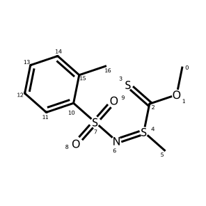 COC(=S)S(C)=NS(=O)(=O)c1ccccc1C